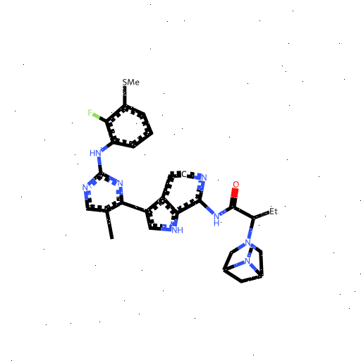 CCC(C(=O)Nc1nccc2c(-c3nc(Nc4cccc(SC)c4F)ncc3C)c[nH]c12)N1CC2CC(C1)N2C